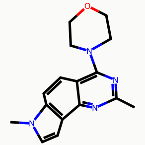 Cc1nc(N2CCOCC2)c2ccc3c(ccn3C)c2n1